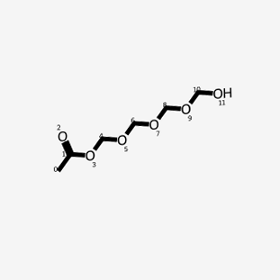 CC(=O)OCOCOCOCO